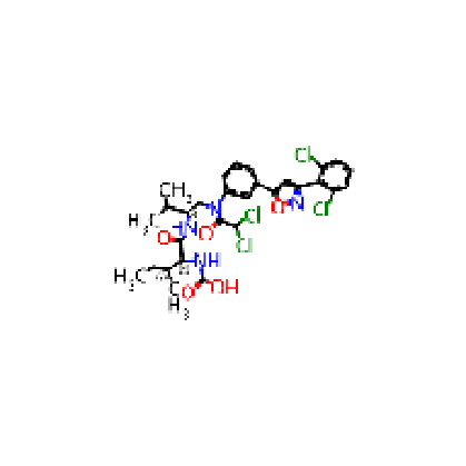 CC[C@H](C)[C@H](NC(=O)O)C(=O)N[C@H](CN(C(=O)C(Cl)Cl)c1cccc(-c2cc(-c3c(Cl)cccc3Cl)no2)c1)C(C)C